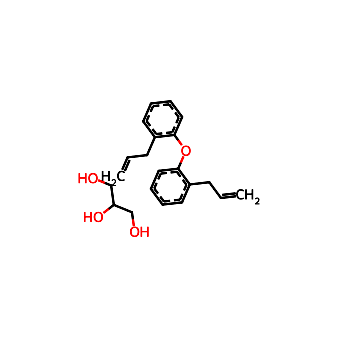 C=CCc1ccccc1Oc1ccccc1CC=C.OCC(O)CO